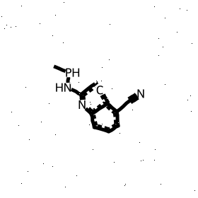 CPNc1ccc2c(C#N)cccc2n1